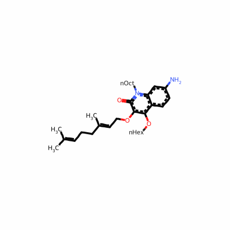 CCCCCCCCn1c(=O)c(OC/C=C(\C)CCC=C(C)C)c(OCCCCCC)c2ccc(N)cc21